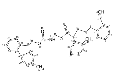 C#Cc1ccccc1CCCC(C(=O)CCNC(=O)OCC1c2ccccc2-c2ccc(C)cc21)c1ccccc1C